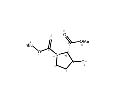 CCCCOC(=O)N1CCC(O)[C@H]1C(=O)OC